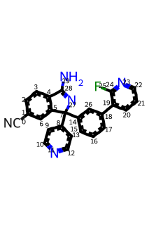 N#Cc1ccc2c(c1)C(c1ccncc1)(c1cccc(-c3cccnc3F)c1)N=C2N